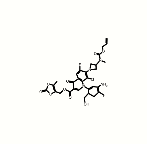 C=CCOC(=O)N(C)C1CN(c2c(F)cc3c(=O)c(C(=O)OCc4oc(=O)oc4C)cn(C4=CC(N)=C(F)CC4CO)c3c2Cl)C1